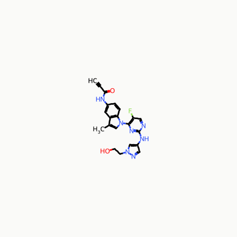 C#CC(=O)Nc1ccc2c(c1)c(C)cn2-c1nc(Nc2cnn(CCO)c2)ncc1F